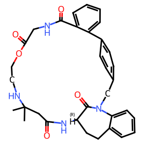 CC1(C)CC(=O)N[C@@H]2CCc3ccccc3N(Cc3ccc(cc3)-c3ccccc3C(=O)NCC(=O)OCCN1)C2=O